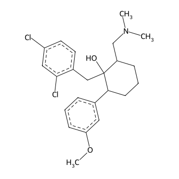 COc1cccc(C2CCCC(CN(C)C)C2(O)Cc2ccc(Cl)cc2Cl)c1